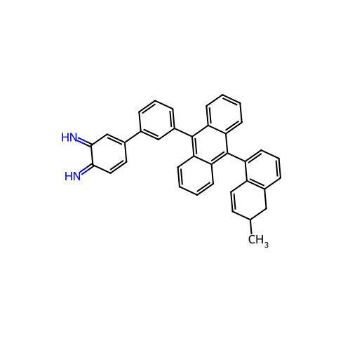 CC1C=Cc2c(cccc2-c2c3ccccc3c(-c3cccc(C4=CC(=N)C(=N)C=C4)c3)c3ccccc23)C1